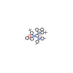 Cc1ccc(N2c3ccc(C)cc3B3c4cc(C(C)(C)C)ccc4N(c4ccccc4-c4ccccc4)c4cc(N(c5ccc(C(C)(C)C)cc5)c5cccc6c5oc5ccccc56)cc2c43)cc1